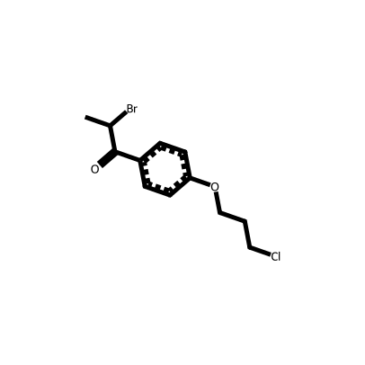 CC(Br)C(=O)c1ccc(OCCCCl)cc1